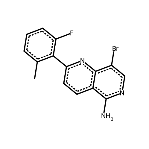 Cc1cccc(F)c1-c1ccc2c(N)ncc(Br)c2n1